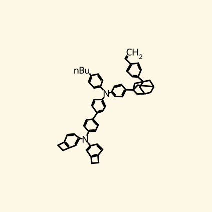 C=Cc1ccc(C23CC4CC(C2)CC(c2ccc(N(c5ccc(CCCC)cc5)c5ccc(-c6ccc(N(c7ccc8c(c7)CC8)c7ccc8c(c7)CC8)cc6)cc5)cc2)(C4)C3)cc1